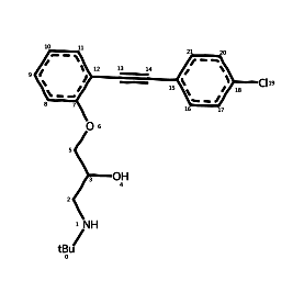 CC(C)(C)NCC(O)COc1ccccc1C#Cc1ccc(Cl)cc1